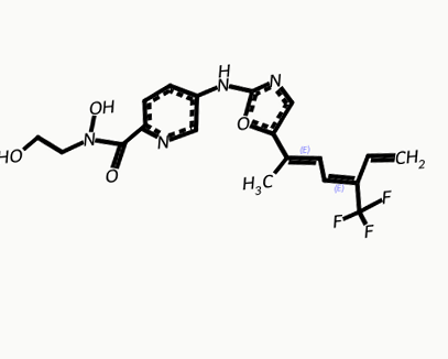 C=C/C(=C\C=C(/C)c1cnc(Nc2ccc(C(=O)N(O)CCO)nc2)o1)C(F)(F)F